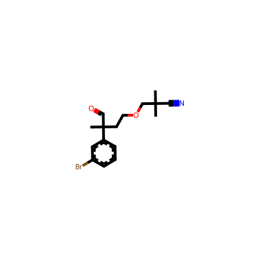 CC(C)(C#N)COCCC(C)(C=O)c1cccc(Br)c1